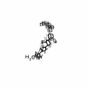 Cn1nnc(-c2ccc(-c3ccc(N4C[C@H](COP(=O)(OC(C)(C)C)OC(C)(C)C)OC4=O)cc3F)cn2)n1